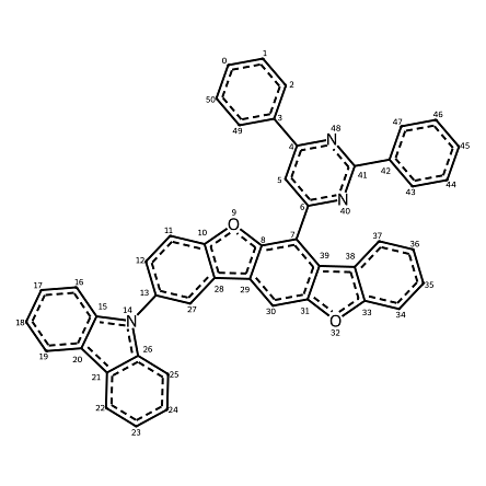 c1ccc(-c2cc(-c3c4oc5ccc(-n6c7ccccc7c7ccccc76)cc5c4cc4oc5ccccc5c34)nc(-c3ccccc3)n2)cc1